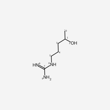 [CH2]C(O)CCCNC(=N)N